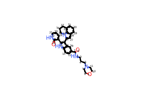 O=C(NCCCN1CCOCC1)c1ccc2[nH]c(-c3ccc[nH]c3=O)c(-c3cc4cccc5c4n3CCC5)c2c1